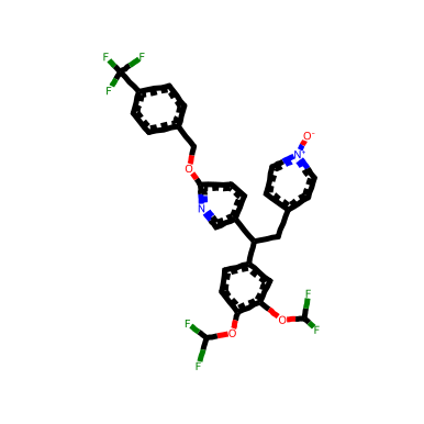 [O-][n+]1ccc(CC(c2ccc(OCc3ccc(C(F)(F)F)cc3)nc2)c2ccc(OC(F)F)c(OC(F)F)c2)cc1